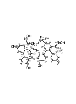 Cc1cc(F)ccc1-c1c(/C(N)=N/O)cc(C(F)(F)F)cc1-c1ccc(O)cc1.Cc1nsc(C)c1-c1c(/C(N)=N/O)cc(Cl)cc1-c1ccc(O)cc1